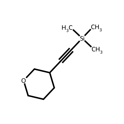 C[Si](C)(C)C#CC1CCCOC1